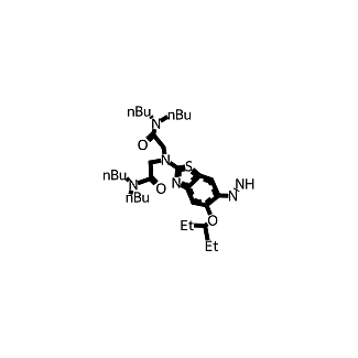 CCCCN(CCCC)C(=O)CN(CC(=O)N(CCCC)CCCC)c1nc2cc(OC(CC)CC)c(N=N)cc2s1